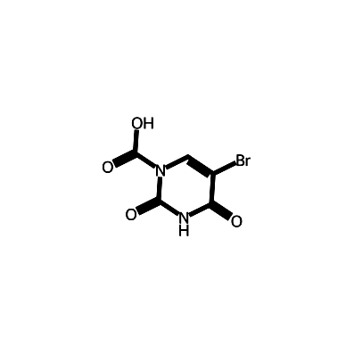 O=C(O)n1cc(Br)c(=O)[nH]c1=O